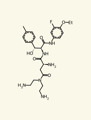 CCOc1ccc(NC(=O)[C@@H](NC(=O)[C@@H](N)CC(=O)N(CCN)CCN)[C@H](O)c2ccc(C)cc2)cc1F